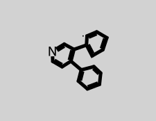 [c]1ccccc1-c1cnccc1-c1ccccc1